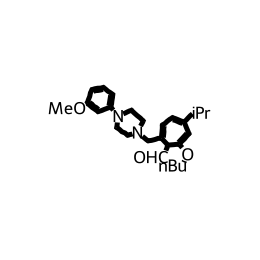 CCCCOC1=CC(C(C)C)=CC=C(CN2CCN(c3cccc(OC)c3)CC2)C1C=O